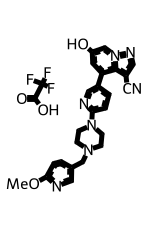 COc1ccc(CN2CCN(c3ccc(-c4cc(O)cn5ncc(C#N)c45)cn3)CC2)cn1.O=C(O)C(F)(F)F